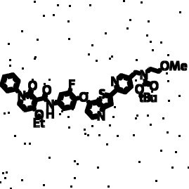 CCOc1ccn(-c2ccccc2)c(=O)c1C(=O)Nc1ccc(Oc2ccnc3cc(-c4ccc(CN(CCOC)C(=O)OC(C)(C)C)cn4)sc23)c(F)c1